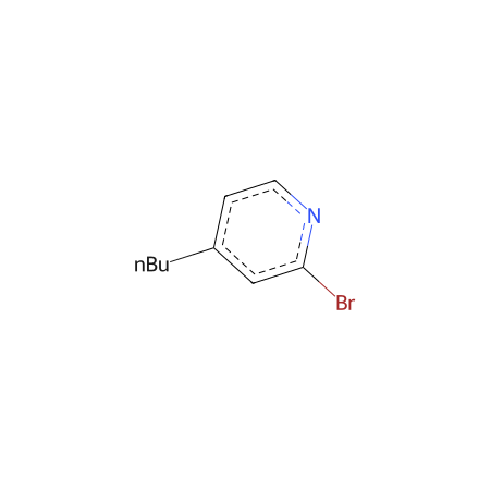 CCCCc1ccnc(Br)c1